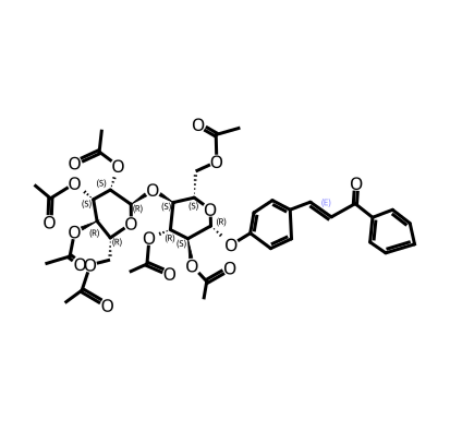 CC(=O)OC[C@@H]1O[C@H](Oc2ccc(/C=C/C(=O)c3ccccc3)cc2)[C@@H](OC(C)=O)[C@H](OC(C)=O)[C@H]1O[C@H]1O[C@H](COC(C)=O)[C@@H](OC(C)=O)[C@H](OC(C)=O)[C@@H]1OC(C)=O